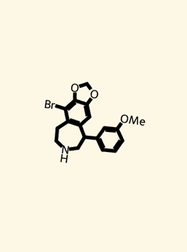 COc1cccc(C2CNCCc3c2cc2c(c3Br)OCO2)c1